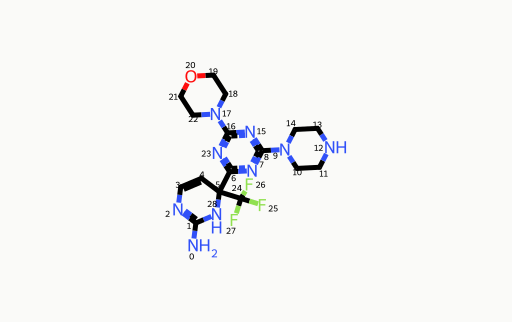 NC1=NC=CC(c2nc(N3CCNCC3)nc(N3CCOCC3)n2)(C(F)(F)F)N1